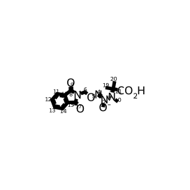 CN(/[N+]([O-])=N/OCN1C(=O)c2ccccc2C1=O)C(C)(C)C(=O)O